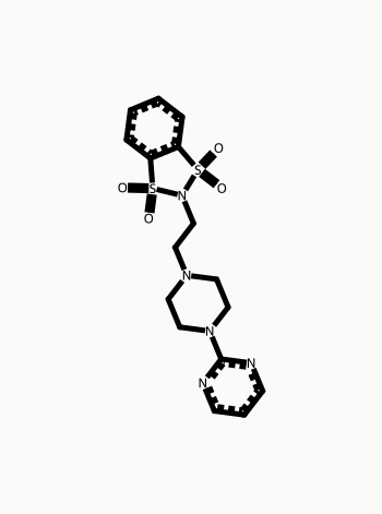 O=S1(=O)c2ccccc2S(=O)(=O)N1CCN1CCN(c2ncccn2)CC1